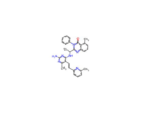 CCC(Nc1nc(N)nc(C)c1/C=C/c1cccc(C)n1)c1nc2cccc(C)c2c(=O)n1-c1ccccc1